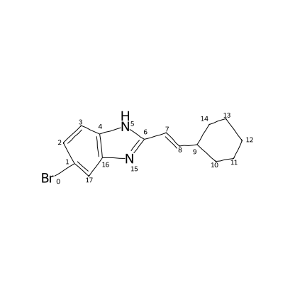 Brc1ccc2[nH]c(/C=C/C3CCCCC3)nc2c1